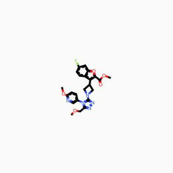 COCc1nnc(N2CC(c3c(C(=O)OC)oc4cc(F)ccc34)C2)n1-c1ccc(OC)nc1